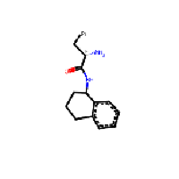 CC(C)C[C@H](N)C(=O)NC1CCCc2ccccc21